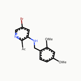 COc1ccc(CNc2cc(Br)cnc2C(C)=O)c(OC)c1